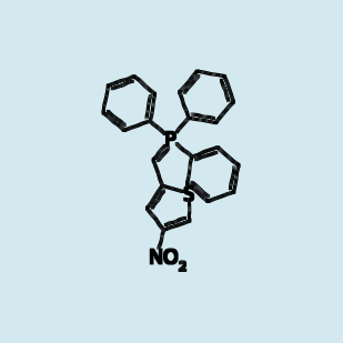 O=[N+]([O-])c1csc(C=P(c2ccccc2)(c2ccccc2)c2ccccc2)c1